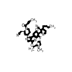 C=C/C=C\c1ccnc(-c2c(Cl)cc3c(nc(O[C@@H](C)[C@@H]4CCCN4C)c4cnn([C@H]5CCN(C(=O)C#CC)[C@H](CC#N)C5)c43)c2F)c1C#N